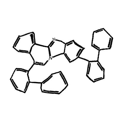 c1ccc(-c2ccccc2-c2ccc3nc4c5ccccc5c(-c5ccccc5-c5ccccc5)cn4c3c2)cc1